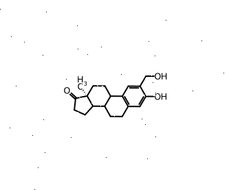 C[C@]12CCC3c4cc(CO)c(O)cc4CCC3C1CCC2=O